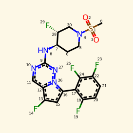 CS(=O)(=O)N1CC[C@@H](Nc2ncc3c(F)cc(-c4c(F)ccc(F)c4F)n3n2)[C@H](F)C1